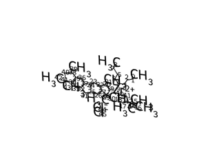 CCCC[C](CCCC)=[Zr+2]([C]1=CC(C(C)(C)C)=CC1)[C]1=C(C)c2cc3c(cc2C1(C)C)Cc1cc2c(cc1-3)C(C)=CC2(C)C.[Cl-].[Cl-]